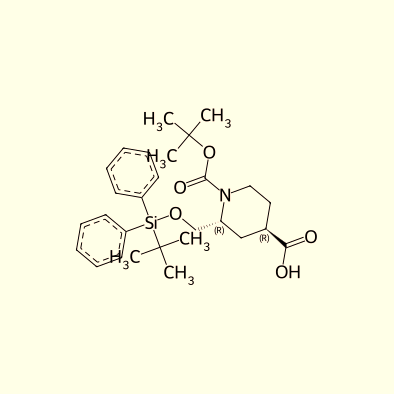 CC(C)(C)OC(=O)N1CC[C@@H](C(=O)O)C[C@@H]1CO[Si](c1ccccc1)(c1ccccc1)C(C)(C)C